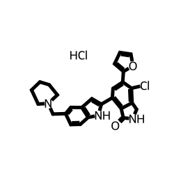 Cl.O=C1NCc2c(Cl)c(-c3ccco3)cc(-c3cc4cc(CN5CCCCC5)ccc4[nH]3)c21